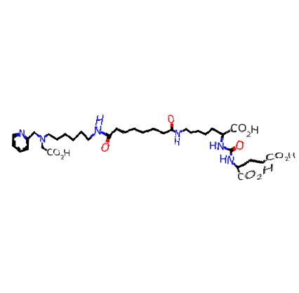 O=C(O)CCC(NC(=O)NC(CCCCCNC(=O)CCCCCCC(=O)NCCCCCCN(CC(=O)O)Cc1ccccn1)C(=O)O)C(=O)O